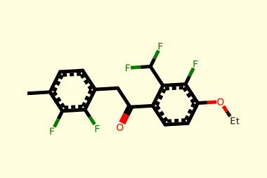 CCOc1ccc(C(=O)Cc2ccc(C)c(F)c2F)c(C(F)F)c1F